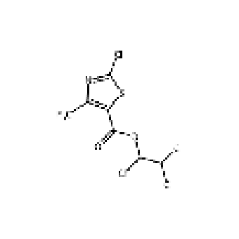 O=C(OC(Cl)C(Cl)Cl)c1sc(Cl)nc1C(F)(F)F